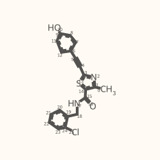 Cc1nc(C#Cc2ccc(O)cc2)sc1C(=O)NCc1ccccc1Cl